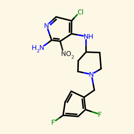 Nc1ncc(Cl)c(NC2CCN(Cc3ccc(F)cc3F)CC2)c1[N+](=O)[O-]